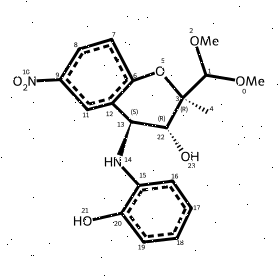 COC(OC)[C@]1(C)Oc2ccc([N+](=O)[O-])cc2[C@H](Nc2ccccc2O)[C@H]1O